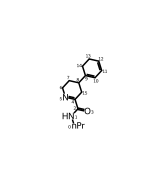 CCCNC(=O)C1=NCCC(C2=CC=CCC2)C1